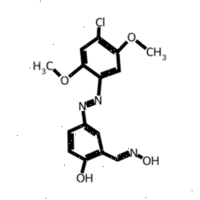 COc1cc(N=Nc2ccc(O)c(C=NO)c2)c(OC)cc1Cl